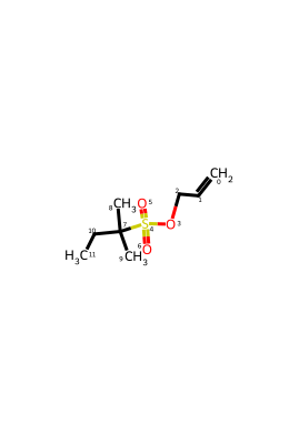 C=CCOS(=O)(=O)C(C)(C)CC